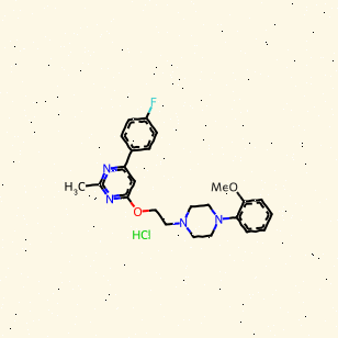 COc1ccccc1N1CCN(CCOc2cc(-c3ccc(F)cc3)nc(C)n2)CC1.Cl